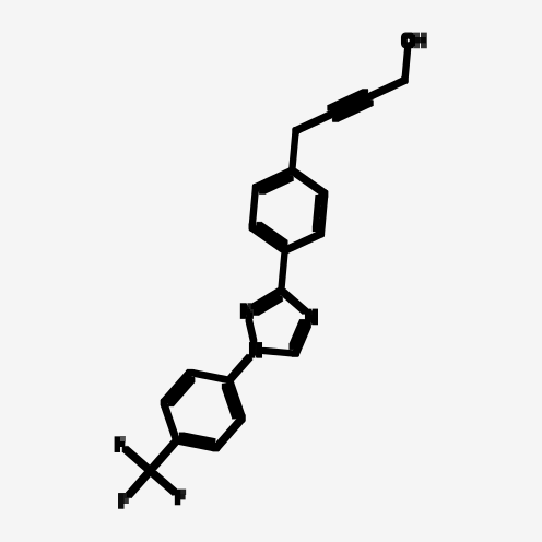 OCC#CCc1ccc(-c2ncn(-c3ccc(C(F)(F)F)cc3)n2)cc1